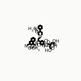 CN(C[C@@H](CCN1CCC(c2ccccc2[S+](C)[O-])CC1)c1ccc(Cl)c(Cl)c1)C(=O)c1c([S+](C)[O-])c(C#N)cc2ccccc12.O=C(O)CC(O)(CC(=O)O)C(=O)O